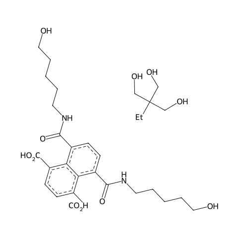 CCC(CO)(CO)CO.O=C(O)c1ccc(C(=O)O)c2c(C(=O)NCCCCCO)ccc(C(=O)NCCCCCO)c12